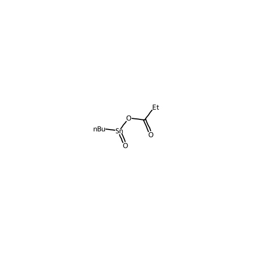 CCC[CH2][Sn](=[O])[O]C(=O)CC